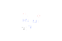 CC1C(=O)NC(=NC#N)NC1=O